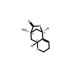 O=C1O[C@@H]2C[C@@]1(O)C[C@H]1OCCC=C12